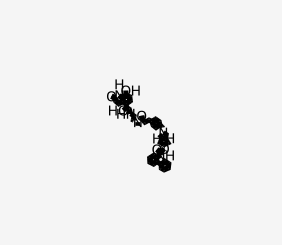 CN(CCNCC(O)c1ccc(O)c2[nH]c(=O)ccc12)C(=O)CCc1ccc(CN2C[C@H]3C[C@H](OC(=O)Nc4ccccc4-c4ccccc4)C[C@H]3C2)cc1